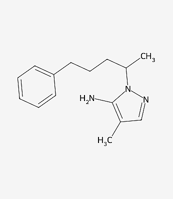 Cc1cnn(C(C)CCCc2ccccc2)c1N